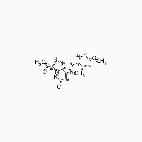 COc1ccc(CN(C)c2cc(Cl)nn3c(C(C)=O)cnc23)cc1